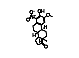 COc1cc2c(c([N+](=O)[O-])c1O)CC[C@@H]1[C@@H]2CC[C@]2(C)C(=O)CC[C@@H]12